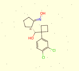 ON=C1CCC[C@H]1C(O)C1(c2ccc(Cl)c(Cl)c2)CCC1